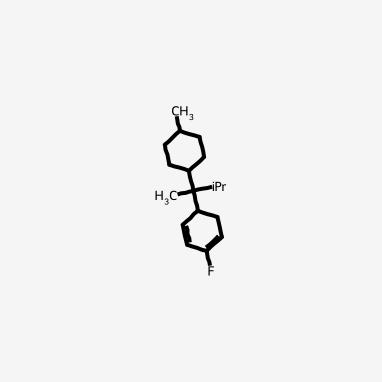 CC1CCC(C(C)(C(C)C)C2C=CC(F)=CC2)CC1